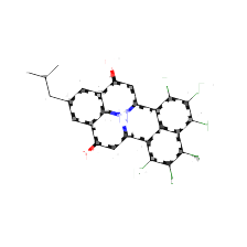 CC(C)Cc1cc2c(=O)cc3c4c(F)c(F)c(F)c5c(F)c(F)c(F)c(c54)c4cc(=O)c(c1)c2n34